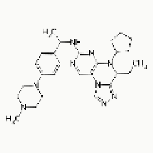 CCC1c2nncn2-c2cnc(NC(C)c3ccc(N4CCN(C)CC4)cc3)nc2N1C1CCCC1